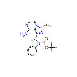 CSc1nc(C2Cc3ccccc3N2C(=O)OC(C)(C)C)c2c(N)nccn12